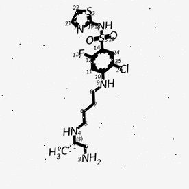 C[C@@H](CN)NCCCCNc1cc(F)c(S(=O)(=O)Nc2nccs2)cc1Cl